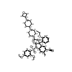 CCOc1ncccc1C1(NC(=O)N2CCN(C3CCN(C4COC4)CC3)CC2)C(=O)N(S(=O)(=O)c2ccc(OC)cc2OC)c2cc(F)c(C#N)cc21